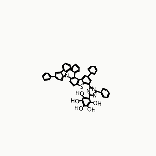 Oc1c(O)c(O)c(-c2nc(-c3ccccc3)nc(-c3cc(-c4ccccc4)cc4c3sc3ccc(-n5c6ccccc6c6cc(-c7ccccc7)ccc65)c(-c5ccccc5)c34)n2)c(O)c1O